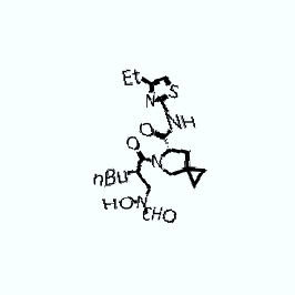 CCCC[C@H](CN(O)C=O)C(=O)N1CC2(CC2)C[C@H]1C(=O)Nc1nc(CC)cs1